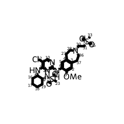 COc1cc2c(cc1Nc1ncc(Cl)c(N[C@@H]3CCCC[C@H]3NS(C)(=O)=O)n1)CCN(CCS(C)(=O)=O)CC2